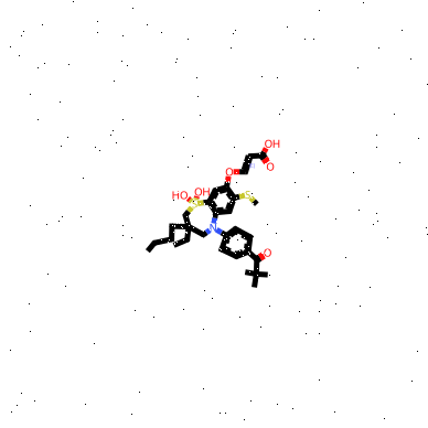 CCCCC1(CC)CN(c2ccc(C(=O)C(C)(C)C)cc2)c2cc(SC)c(O/C=C/C(=O)O)cc2S(O)(O)C1